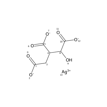 O=C([O-])CC(C(=O)[O-])C(O)C(=O)[O-].[Ag+3]